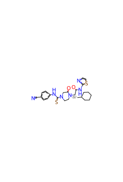 N#Cc1ccc(NC(=S)N2CCN([C@@H](CC3CCCCC3)C(=O)Nc3nccs3)C(=O)C2)cc1